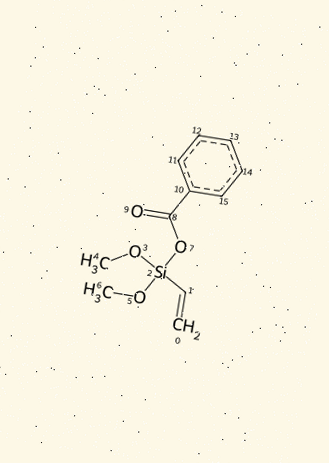 C=C[Si](OC)(OC)OC(=O)c1ccccc1